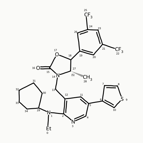 CCN(c1ncc(-c2ccsc2)cc1CN1C(=O)OC(c2cc(C(F)(F)F)cc(C(F)(F)F)c2)[C@@H]1C)C1CCCCC1